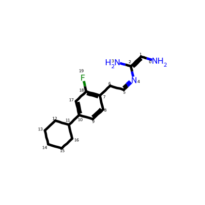 N/C=C(N)\N=C/Cc1ccc(C2CCCCC2)cc1F